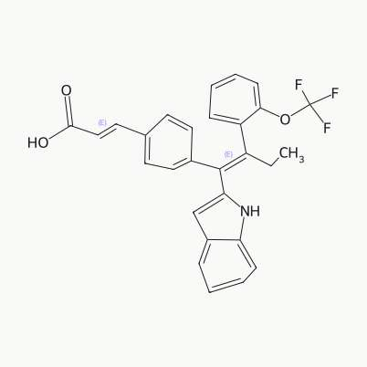 CC/C(=C(/c1ccc(/C=C/C(=O)O)cc1)c1cc2ccccc2[nH]1)c1ccccc1OC(F)(F)F